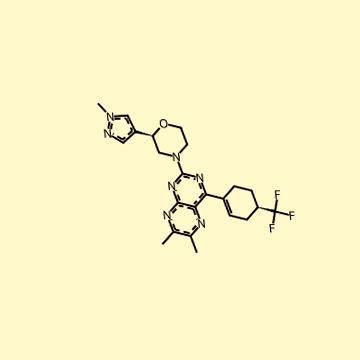 Cc1nc2nc(N3CCO[C@H](c4cnn(C)c4)C3)nc(C3=CC[C@H](C(F)(F)F)CC3)c2nc1C